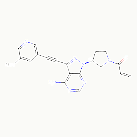 C=CC(=O)N1CC[C@H](n2nc(C#Cc3cncc(OC)c3)c3c(N)ncnc32)C1